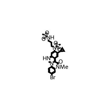 CNC(=O)/C(=C1\C=C(C2CC2)C(N(CCCNS(C)(=O)=O)S(C)(=O)=O)=CC1=N)N(C)c1ccc(Br)cc1